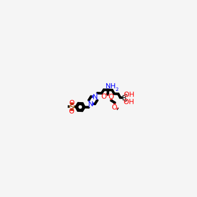 COCCOC(=O)C(N)(CCCCB(O)O)CCCN1CCN(Cc2ccc(S(C)(=O)=O)cc2)CC1